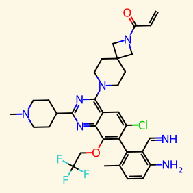 C=CC(=O)N1CC2(CCN(c3nc(C4CCN(C)CC4)nc4c(OCC(F)(F)F)c(-c5c(C)ccc(N)c5C=N)c(Cl)cc34)CC2)C1